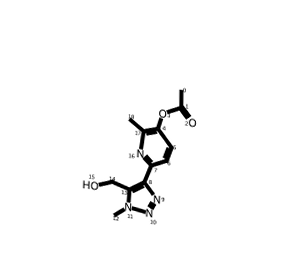 CC(=O)Oc1ccc(-c2nnn(C)c2CO)nc1C